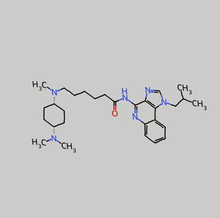 CC(C)Cn1cnc2c(NC(=O)CCCCCN(C)[C@H]3CC[C@@H](N(C)C)CC3)nc3ccccc3c21